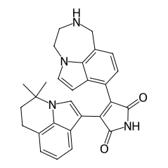 CC1(C)CCc2cccc3c(C4=C(c5ccc6c7c5ccn7CCNC6)C(=O)NC4=O)cn1c23